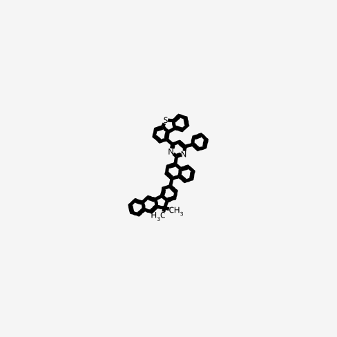 CC1(C)c2ccc(-c3ccc(-c4nc(-c5ccccc5)cc(-c5cccc6sc7ccccc7c56)n4)c4ccccc34)cc2-c2cc3ccccc3cc21